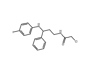 O=C(CCl)NCCC(Nc1ccc(I)cc1)c1ccccc1